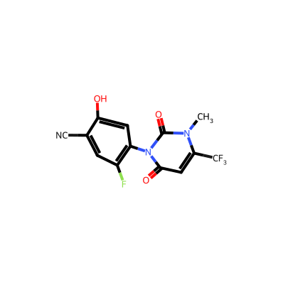 Cn1c(C(F)(F)F)cc(=O)n(-c2cc(O)c(C#N)cc2F)c1=O